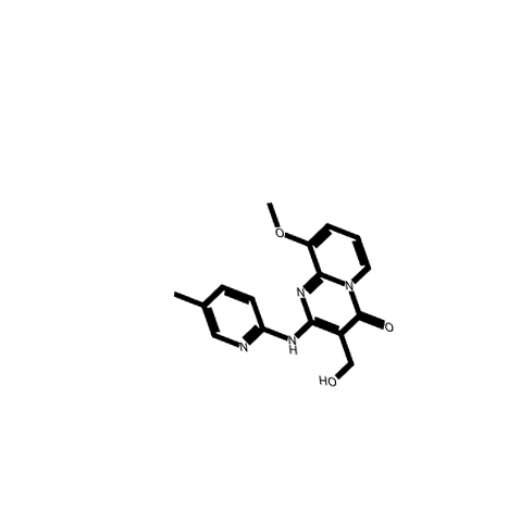 COc1cccn2c(=O)c(CO)c(Nc3ccc(C)cn3)nc12